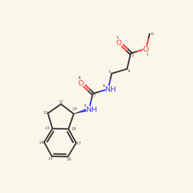 COC(=O)CCNC(=O)N[C@@H]1CCc2ccccc21